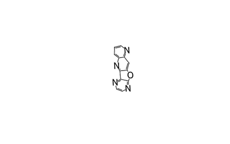 c1cnc2cc3oc4nccnc4c3nc2c1